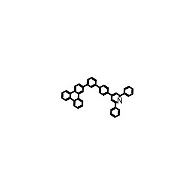 c1ccc(-c2cc(-c3ccc(-c4cccc(-c5ccc6c7ccccc7c7ccccc7c6c5)c4)cc3)cc(-c3ccccc3)n2)cc1